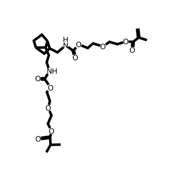 C=C(C)C(=O)OCCOCCOC(=O)NCC1CC2CCC1C2CCNC(=O)OCCOCCOC(=O)C(C)C